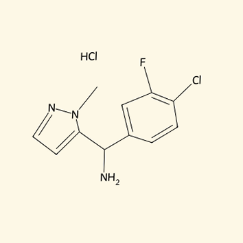 Cl.Cn1nccc1C(N)c1ccc(Cl)c(F)c1